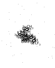 [2H]c1c([2H])c(F)c(F)c(C([2H])([2H])Sc2c([2H])c(=O)c3c([2H])c(C)c([2H])c([2H])c3n2CC(=O)N(Cc2c([2H])c([2H])c(-c3c([2H])c([2H])c(C(F)(F)F)c([2H])c3[2H])c([2H])c2[2H])C2([2H])C([2H])([2H])C([2H])([2H])N(C([2H])([2H])COC)C([2H])([2H])C2([2H])[2H])c1[2H]